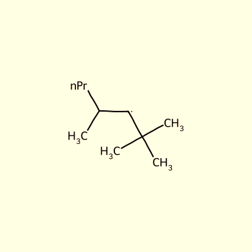 CCCC(C)[CH]C(C)(C)C